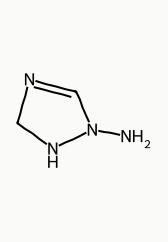 NN1C=NCN1